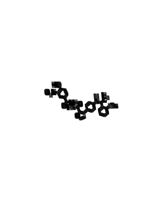 CC(Nc1ccc(-c2ccoc2C(=O)NNC(=O)c2ccc(O)c([N+](=O)[O-])c2)cc1)c1ccccc1C(C)(C)C